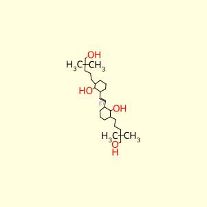 CC(C)(CO)CCCC1CCCC(/C=C/C2CCCC(CCCC(C)(C)CO)C2O)C1O